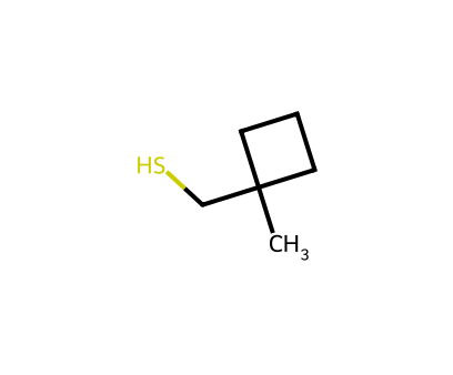 CC1(CS)CCC1